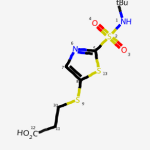 CC(C)(C)NS(=O)(=O)c1ncc(SCCC(=O)O)s1